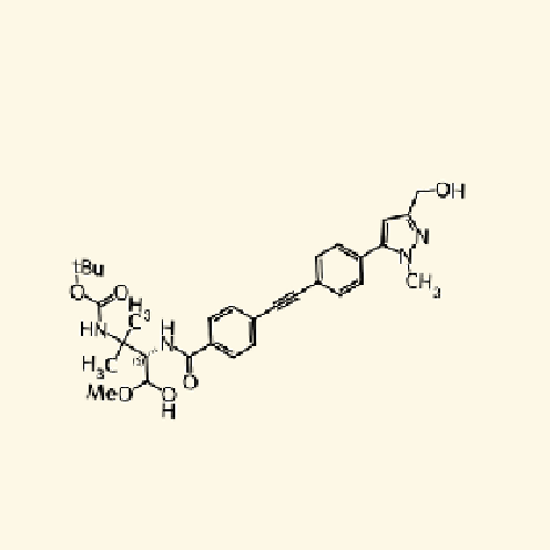 COC(O)[C@@H](NC(=O)c1ccc(C#Cc2ccc(-c3cc(CO)nn3C)cc2)cc1)C(C)(C)NC(=O)OC(C)(C)C